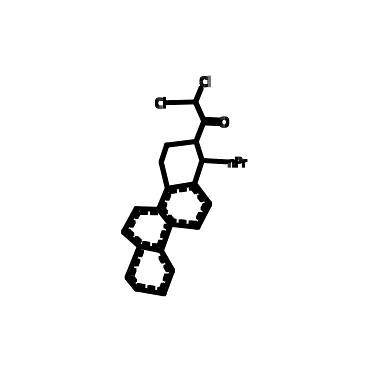 [CH2]CCC1c2ccc3c(ccc4ccccc43)c2CCC1C(=O)C(Cl)Cl